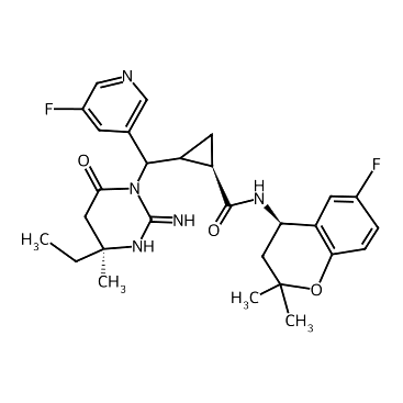 CC[C@@]1(C)CC(=O)N(C(c2cncc(F)c2)C2C[C@H]2C(=O)N[C@@H]2CC(C)(C)Oc3ccc(F)cc32)C(=N)N1